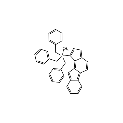 [CH3][Zr]([CH2]c1ccccc1)([CH2]c1ccccc1)([CH2]c1ccccc1)[C]1=CC=c2ccc3c(c21)C=c1ccccc1=3